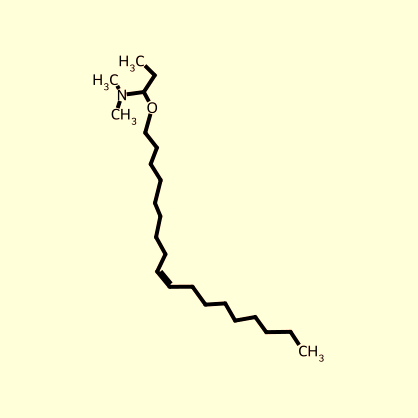 CCCCCCCC/C=C\CCCCCCCCOC(CC)N(C)C